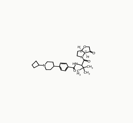 CC(C)(C)C(NC(=O)c1ccc(C2CCN(C3CCC3)CC2)cc1)C(=O)N1CC[C@H]2OCC(=O)[C@H]21